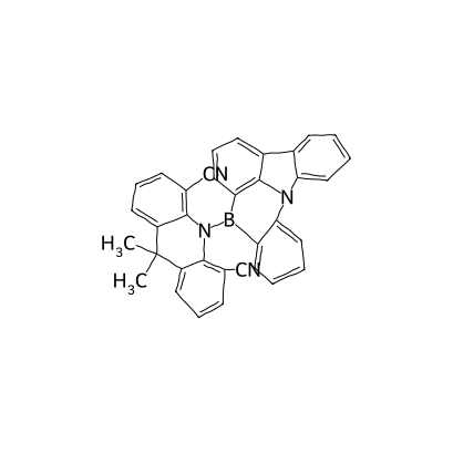 CC1(C)c2cccc(C#N)c2N(B2c3ccccc3-n3c4ccccc4c4cccc2c43)c2c(C#N)cccc21